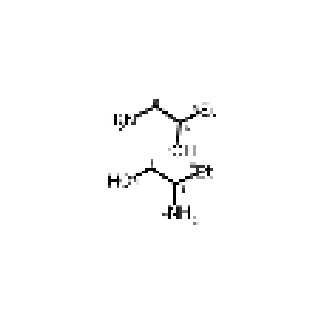 CCC(N)CO.CCC(O)CN